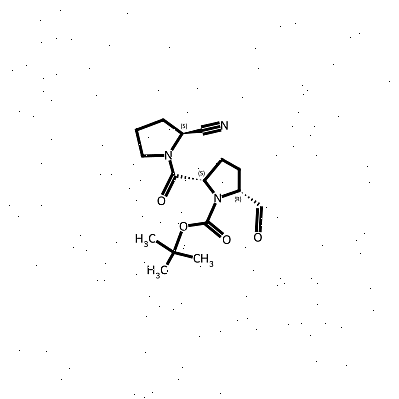 CC(C)(C)OC(=O)N1[C@@H](C=O)CC[C@H]1C(=O)N1CCC[C@H]1C#N